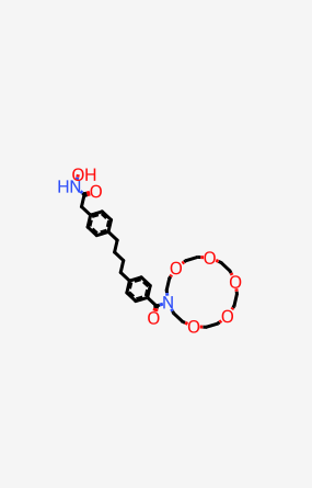 O=C(Cc1ccc(CCCCc2ccc(C(=O)N3CCOCCOCCOCCOCCOCC3)cc2)cc1)NO